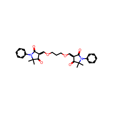 CC1(C)C(=O)/C(=C\OCCCO/C=C2/C(=O)N(c3ccccc3)C(C)(C)C2=O)C(=O)N1c1ccccc1